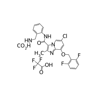 Cc1nc2c(OCc3c(F)cccc3F)cc(Cl)cn2c1C(=O)Nc1ccccc1CNC(=O)O.O=C(O)C(F)(F)F